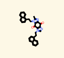 Cc1nc2c(n1CCc1cccc3ccccc13)C(=O)c1c(ncn1CCc1cccc3ccccc13)C2=O